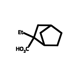 CCC1(C(=O)O)CC2CCC1C2